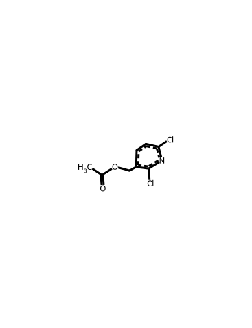 CC(=O)OCc1ccc(Cl)nc1Cl